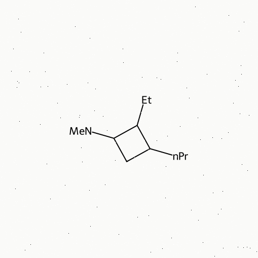 CCCC1CC(NC)C1CC